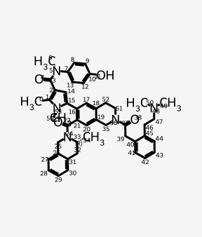 Cc1c(C(=O)N(C)c2ccc(O)cc2)cc(-c2cc3c(cc2C(=O)N2Cc4ccccc4C[C@H]2C)CN(C(=O)Cc2ccccc2CCN(C)C)CC3)n1C